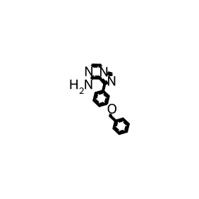 Nc1nccn2cnc(-c3cccc(OCc4ccccc4)c3)c12